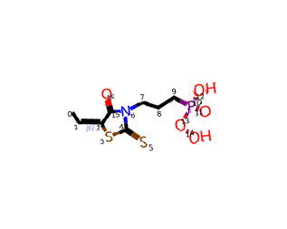 C/C=C1/SC(=S)N(CCCP(=O)(O)OO)C1=O